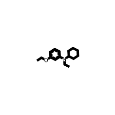 CCOc1cccc(N(CC)C2CCCCC2)c1